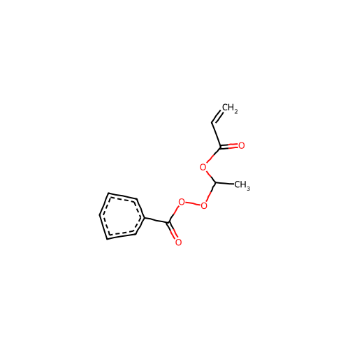 C=CC(=O)OC(C)OOC(=O)c1ccccc1